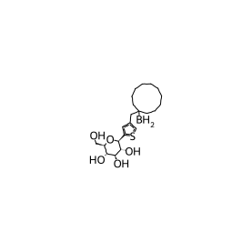 BC1(Cc2csc([C@@H]3O[C@H](CO)[C@@H](O)[C@H](O)[C@H]3O)c2)CCCCCCCCCC1